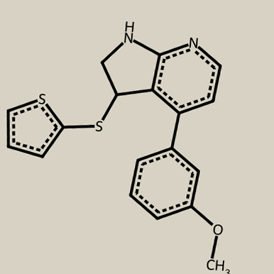 COc1cccc(-c2ccnc3c2C(Sc2cccs2)CN3)c1